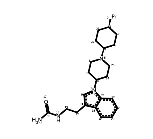 CC(C)[C@H]1CC[C@@H](N2CCC(n3cc(CCNC(N)=O)c4ccccc43)CC2)CC1